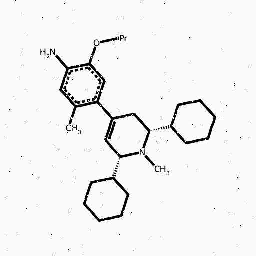 Cc1cc(N)c(OC(C)C)cc1C1=C[C@@H](C2CCCCC2)N(C)[C@@H](C2CCCCC2)C1